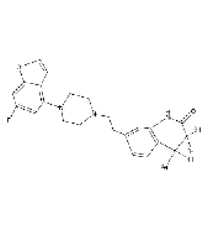 [2H]C1([2H])C(=O)Nc2cc(CCN3CCN(c4cc(F)cc5occc45)CC3)ccc2C1([2H])[2H]